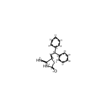 N=C1NC(=O)SC1=CC(c1ccccc1)c1ccccc1